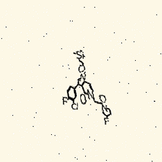 C[Si](C)(C)CCOCn1cc(-c2ccc(F)c(Cl)c2)c2c(=O)n(CC(=O)N3CCC(F)C3)ccc21